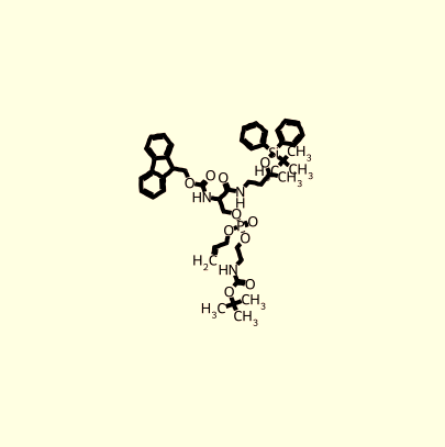 C=CCOP(=O)(OCCNC(=O)OC(C)(C)C)OCC(NC(=O)OCC1c2ccccc2-c2ccccc21)C(=O)NCCC(C)O[Si](c1ccccc1)(c1ccccc1)C(C)(C)C